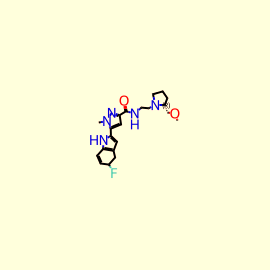 COC[C@H]1CCCN1CCNC(=O)c1cc(-c2cc3c([nH]2)C=CC(F)C3)n(C)n1